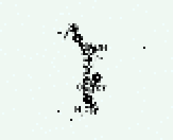 Cc1ncsc1-c1ccc(CNC(=O)[C@@H]2C[C@@H](OCc3coc([C@H](C(=O)N4C[C@H](O)C[C@H]4C(=O)NCc4ccc(-c5scnc5C)cc4)C(C)C)n3)CN2C(=O)[C@@H](c2ccccc2)C(C)C)cc1